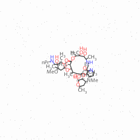 CCCNC[C@]1(O)[C@H](C)O[C@@H](OC2C(C)C(=O)OC(CC)C(C)(O)C(O)C(C)NCC(C)CC(C)(O)C(O[C@@H]3O[C@H](C)C[C@H](NC)[C@H]3Oc3cccnc3OCC)C2C)C[C@@]1(C)OC